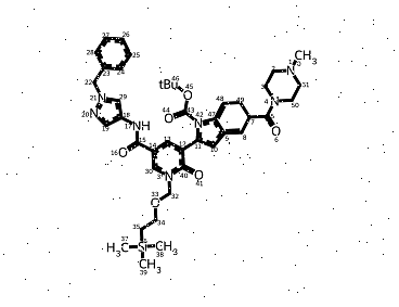 CN1CCN(C(=O)C2C=c3cc(-c4cc(C(=O)Nc5cnn(Cc6ccccc6)c5)cn(COCC[Si](C)(C)C)c4=O)n(C(=O)OC(C)(C)C)c3=CC2)CC1